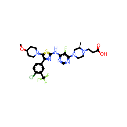 COC1CCN(c2sc(Nc3ncnc(N4CCN(CCC(=O)O)[C@H](C)C4)c3F)nc2-c2ccc(Cl)c(C(F)(F)F)c2)CC1